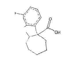 Cc1c(F)cccc1C1(C(=O)O)CCCCCC1C